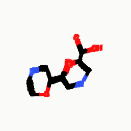 O=C(O)C1=CN=CC(=C2C=NC=CO2)O1